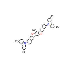 CC(C)c1ccc2c(c1)c1cc(C(C)C)ccc1n2-c1ccc2cc3c(cc2c1)oc1c(C#N)c2c(cc13)oc1cc3cc(-n4c5ccc(C(C)C)cc5c5cc(C(C)C)ccc54)ccc3cc12